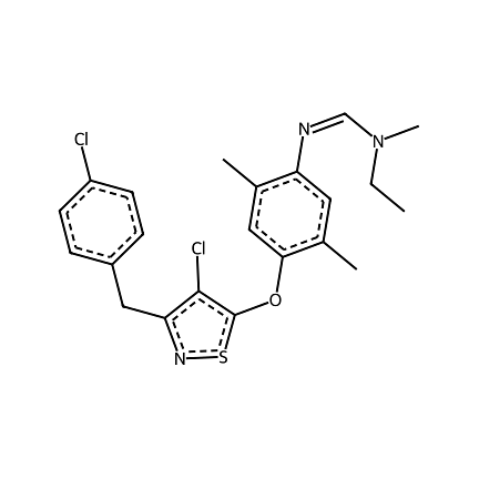 CCN(C)/C=N\c1cc(C)c(Oc2snc(Cc3ccc(Cl)cc3)c2Cl)cc1C